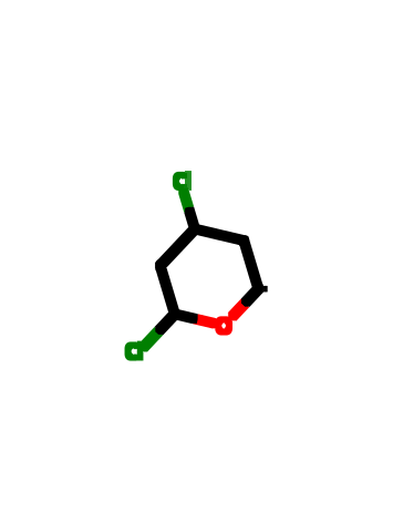 ClC1C[CH]OC(Cl)C1